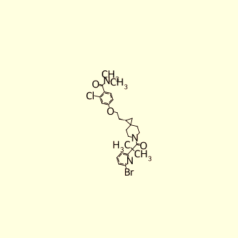 CN(C)C(=O)c1ccc(OCC[C@H]2CC23CCN(C(=O)C(C)(C)c2cccc(Br)n2)CC3)cc1Cl